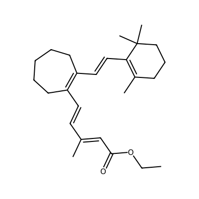 CCOC(=O)C=C(C)C=CC1=C(C=CC2=C(C)CCCC2(C)C)CCCCC1